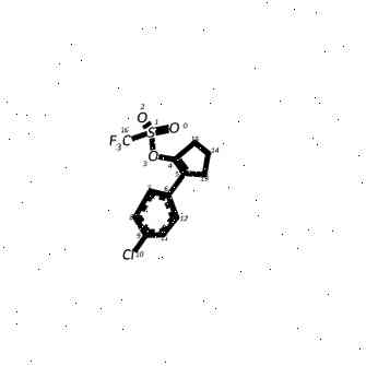 O=S(=O)(OC1=C(c2ccc(Cl)cc2)CCC1)C(F)(F)F